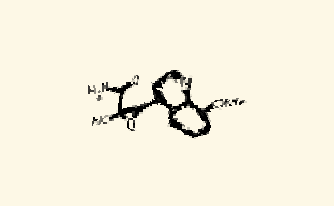 COc1cccc2c(C3OC3(C#N)C(N)=O)ccnc12